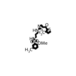 COc1ccc(C)cc1S(=O)(=O)NCCCNc1ncc(C(=O)c2sccc2C)s1